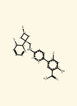 NC(=O)c1cc(-c2ccc(NC[C@]3(C4N=CC=CC4F)C[C@H](F)C3)nn2)c(F)cc1O